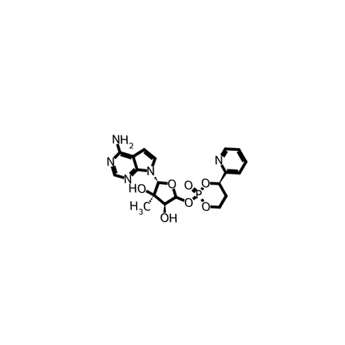 C[C@@]1(O)[C@H](O)C(OP2(=O)OCC[C@H](c3ccccn3)O2)O[C@H]1n1ccc2c(N)ncnc21